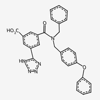 O=C(O)c1cc(C(=O)N(Cc2ccccc2)Cc2ccc(Oc3ccccc3)cc2)cc(-c2nnn[nH]2)c1